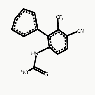 N#Cc1ccc(NC(O)=S)c(-c2ccccc2)c1C(F)(F)F